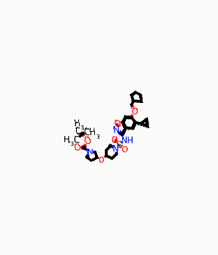 CC(C)(C)OC(=O)N1CC[C@H](OC2CCN(S(=O)(=O)Nc3noc4cc(OCC5CCCC5)c(C5CC5)cc34)CC2)C1